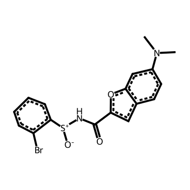 CN(C)c1ccc2cc(C(=O)N[S+]([O-])c3ccccc3Br)oc2c1